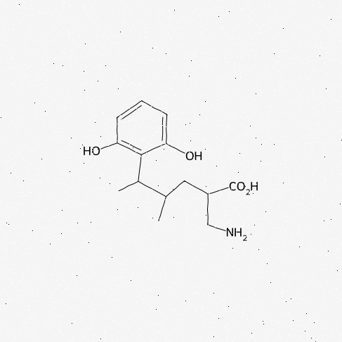 CC(CC(CN)C(=O)O)C(C)c1c(O)cccc1O